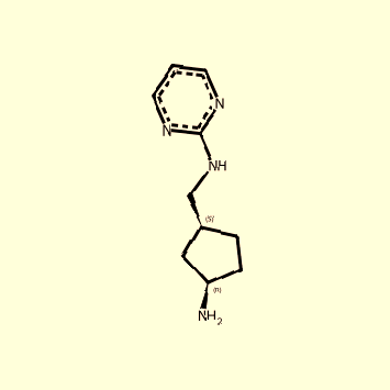 N[C@@H]1CC[C@H](CNc2ncccn2)C1